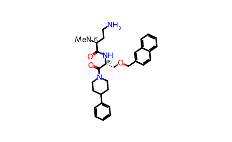 CN[C@@H](CCN)C(=O)N[C@H](COCc1ccc2ccccc2c1)C(=O)N1CCC(c2ccccc2)CC1